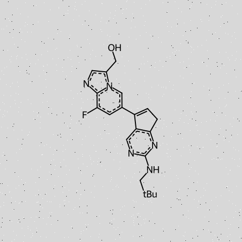 CC(C)(C)CNc1ncc2c(n1)CC=C2c1cc(F)c2ncc(CO)n2c1